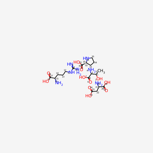 CC(O)C(N)C(=O)O.N=C(N)NCCCC(N)C(=O)O.NC(CC(=O)O)C(=O)O.O=C(O)[C@@H]1CCCN1